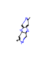 Cc1cc2nc3cnc(C)cc3nc2cn1